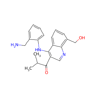 CC(C)C(=O)c1cnc2c(CO)cccc2c1Nc1ccccc1CN